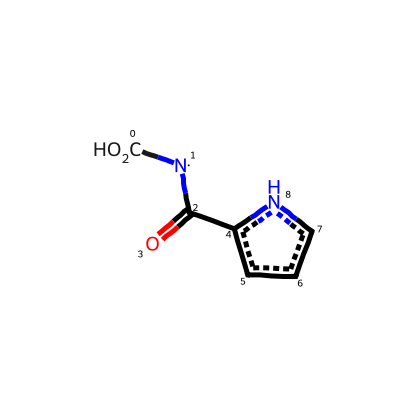 O=C(O)[N]C(=O)c1ccc[nH]1